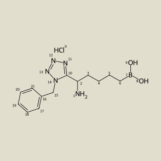 Cl.NC(CCCCB(O)O)c1nnnn1Cc1ccccc1